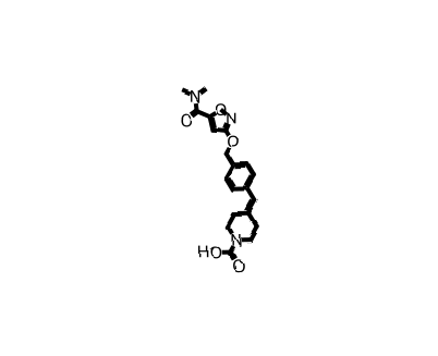 CN(C)C(=O)c1cc(OCc2ccc(C=C3CCN(C(=O)O)CC3)cc2)no1